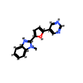 Cn1c(-c2ccc(-c3cncnc3)o2)nc2ccccc21